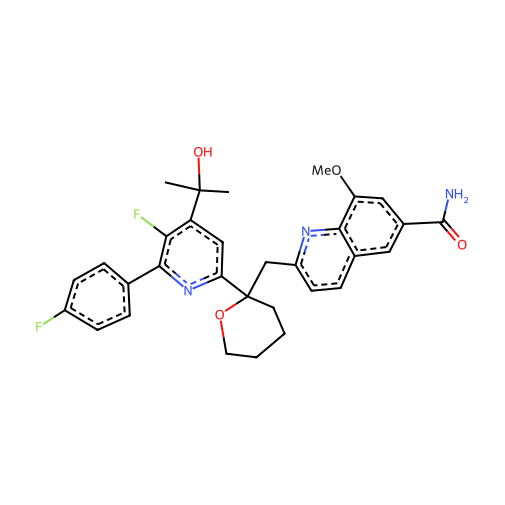 COc1cc(C(N)=O)cc2ccc(CC3(c4cc(C(C)(C)O)c(F)c(-c5ccc(F)cc5)n4)CCCCO3)nc12